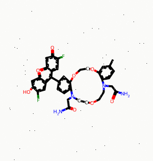 Cc1ccc2c(c1)OCCOc1cc(-c3c4cc(F)c(=O)cc-4oc4cc(O)c(F)cc34)ccc1N(CC(N)=O)CCOCCN2CC(N)=O